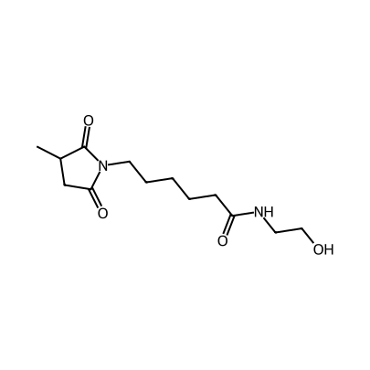 CC1CC(=O)N(CCCCCC(=O)NCCO)C1=O